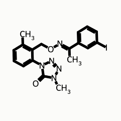 CC(=NOCc1c(C)cccc1-n1nnn(C)c1=O)c1cccc(I)c1